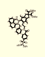 CCCN(CCC)S(=O)(=O)c1ccc(C(=O)OCCc2c(C)c3c(c(C)c2B2Nc4cccc5cccc(c45)N2Cc2ccccc2)CC(C(=O)OC)(C(=O)OC)C3)cc1